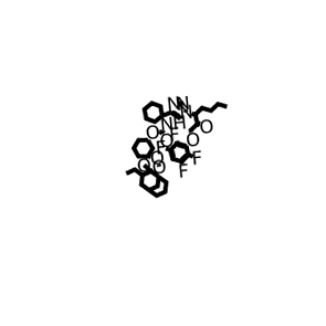 CCCCC(C(=O)COc1c(F)c(F)cc(F)c1F)n1cc(C2(NC(=O)OC3CCCC4(C3)OOC3(O4)C(CC)CC4CCCC3C4)CCCCC2)nn1